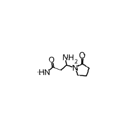 [NH]C(=O)CC(N)N1CCCC1=O